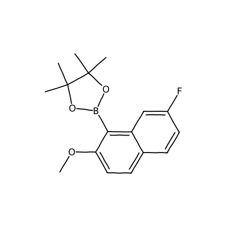 COc1ccc2ccc(F)cc2c1B1OC(C)(C)C(C)(C)O1